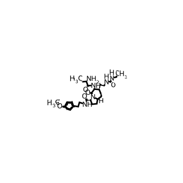 CCNC(=O)NCC[C@H]1CC[C@H]2CC[C@@H](C(=O)NCCc3ccc(OC)cc3)N2C(=O)[C@H]1NC(=O)[C@@H](N)CC